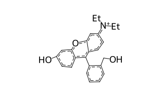 CC[N+](CC)=c1ccc2c(-c3ccccc3CO)c3ccc(O)cc3oc-2c1